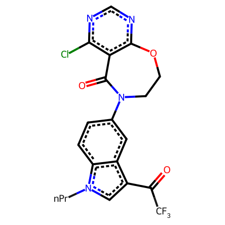 CCCn1cc(C(=O)C(F)(F)F)c2cc(N3CCOc4ncnc(Cl)c4C3=O)ccc21